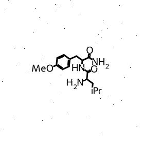 COc1ccc(CC(NC(=O)C(N)CC(C)C)C(N)=O)cc1